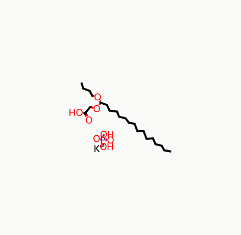 CCCCCCCCCCCCCCCC(OCCCC)OCC(=O)O.O=P([O-])(O)O.[K+]